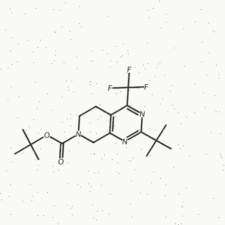 CC(C)(C)OC(=O)N1CCc2c(nc(C(C)(C)C)nc2C(F)(F)F)C1